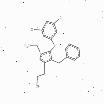 CCn1nc(CCO)c(Cc2ccccc2)c1Oc1cc(Cl)cc(Cl)c1